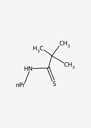 CCCNC(=S)C(C)(C)C